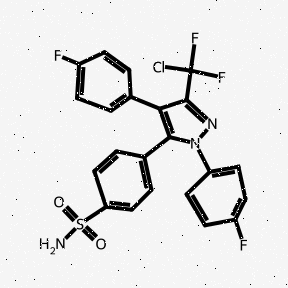 NS(=O)(=O)c1ccc(-c2c(-c3ccc(F)cc3)c(C(F)(F)Cl)nn2-c2ccc(F)cc2)cc1